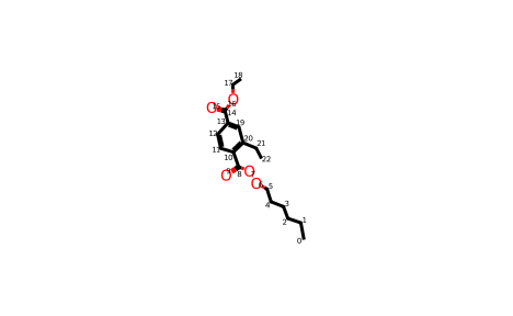 CCCCCCOOC(=O)c1ccc(C(=O)OCC)cc1CC